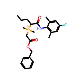 CCCC(C(=O)Nc1c(C)cc(F)cc1C)[PH](C)(C)CC(=O)OCc1ccccc1